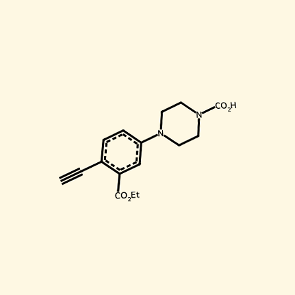 C#Cc1ccc(N2CCN(C(=O)O)CC2)cc1C(=O)OCC